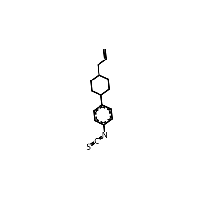 C=CCC1CCC(c2ccc(N=C=S)cc2)CC1